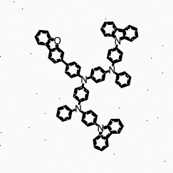 c1ccc(N(c2ccc(N(c3ccc(-c4ccc5c(c4)oc4ccccc45)cc3)c3ccc(N(c4ccccc4)c4ccc(-n5c6ccccc6c6ccccc65)cc4)cc3)cc2)c2ccc(-n3c4ccccc4c4ccccc43)cc2)cc1